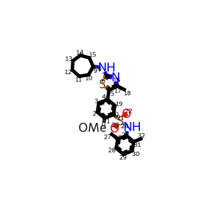 COc1ccc(-c2sc(NC3CCCCCC3)nc2C)cc1S(=O)(=O)Nc1c(C)cccc1C